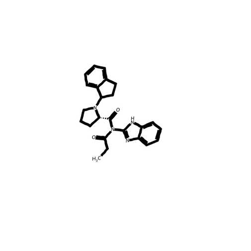 CCC(=O)N(C(=O)[C@@H]1CCCN1C1CCc2ccccc21)c1nc2ccccc2[nH]1